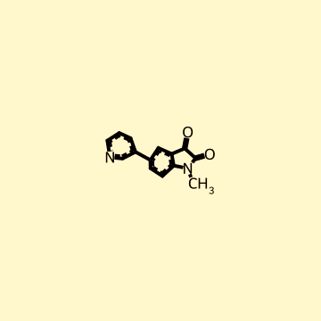 CN1C(=O)C(=O)c2cc(-c3cccnc3)ccc21